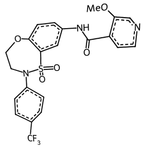 COc1cnccc1C(=O)Nc1ccc2c(c1)S(=O)(=O)N(c1ccc(C(F)(F)F)cc1)CCO2